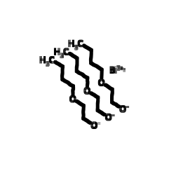 CCCCOCC[O-].CCCCOCC[O-].CCCCOCC[O-].[Bi+3]